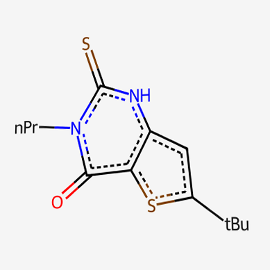 CCCn1c(=S)[nH]c2cc(C(C)(C)C)sc2c1=O